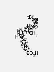 Cc1cc(-c2ncnc3[nH]c(-c4ccc(N5CCN(C(=O)O)CC5)cc4)cc23)ccc1CNC(=O)c1nc(C(C)(C)C)no1